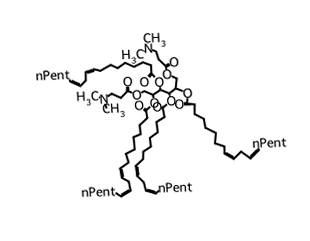 CCCCC/C=C\C/C=C\CCCCCCCC(=O)OC(COC(=O)CCN(C)C)C(OC(=O)CCCCCCC/C=C\C/C=C\CCCCC)C(OC(=O)CCCCCCC/C=C\C/C=C\CCCCC)C(COC(=O)CCN(C)C)OC(=O)CCCCCCC/C=C\C/C=C\CCCCC